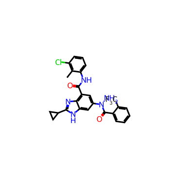 Cc1c(Cl)cccc1NC(=O)c1cc(N(N)C(=O)c2ccccc2C(F)(F)F)cc2[nH]c(C3CC3)nc12